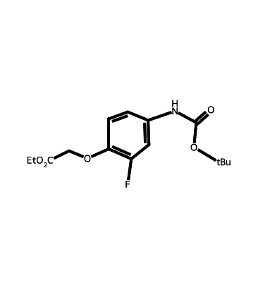 CCOC(=O)COc1ccc(NC(=O)OC(C)(C)C)cc1F